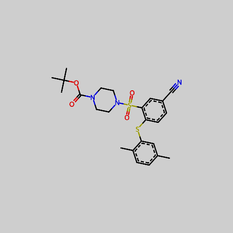 Cc1ccc(C)c(Sc2ccc(C#N)cc2S(=O)(=O)N2CCN(C(=O)OC(C)(C)C)CC2)c1